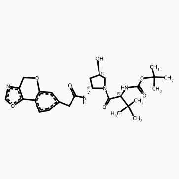 CC(C)(C)OC(=O)N[C@H](C(=O)N1C[C@H](O)C[C@H]1NC(=O)Cc1ccc2c(c1)OCc1ncoc1-2)C(C)(C)C